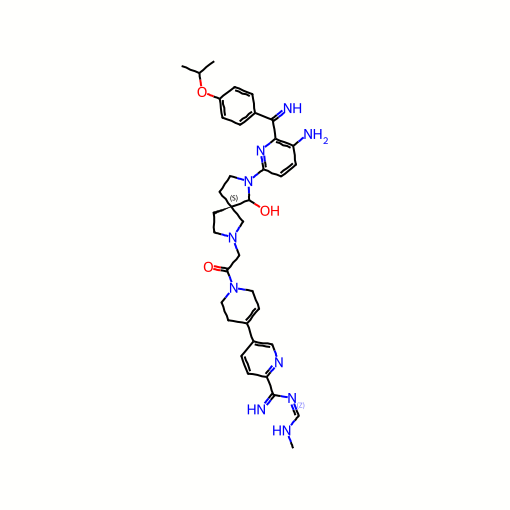 CN/C=N\C(=N)c1ccc(C2=CCN(C(=O)CN3CC[C@]4(CCN(c5ccc(N)c(C(=N)c6ccc(OC(C)C)cc6)n5)C4O)C3)CC2)cn1